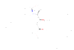 COC(=O)CC(=O)c1cocn1